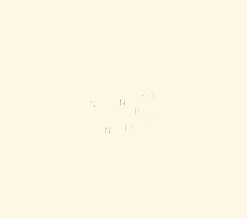 C=C=P(O)(O)N=C1N(C)CCN1C